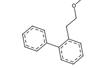 COCCc1ccccc1-c1ccccc1